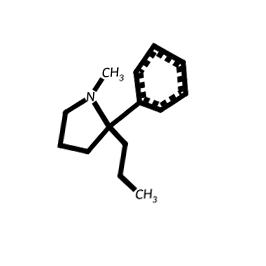 CCCC1(c2ccccc2)CCCN1C